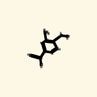 CC(C)Oc1ncc(C(=O)Cl)cc1N